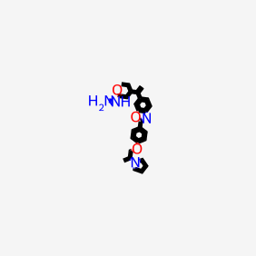 C=C(c1ccc2nc(-c3ccc(OCC(C)N4CCCC4)cc3)oc2c1)C(CC)CC(=O)NN